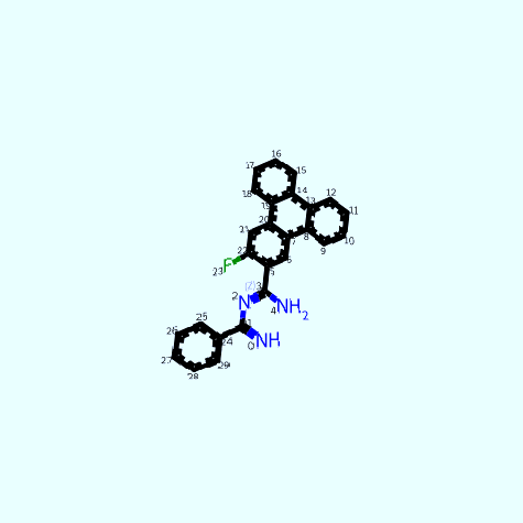 N=C(/N=C(\N)c1cc2c3ccccc3c3ccccc3c2cc1F)c1ccccc1